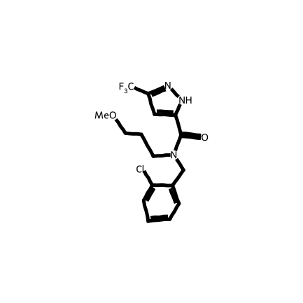 COCCCN(Cc1ccccc1Cl)C(=O)c1cc(C(F)(F)F)n[nH]1